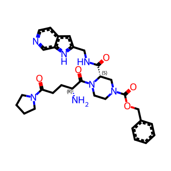 N[C@H](CCC(=O)N1CCCC1)C(=O)N1CCN(C(=O)OCc2ccccc2)C[C@H]1C(=O)NCc1cc2ccncc2[nH]1